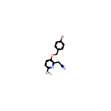 Cc1ccc(OCc2ccc(Br)cc2)c(CC#N)n1